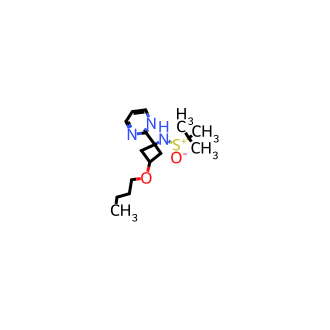 CCCCOC1CC(N[S+]([O-])C(C)(C)C)(c2ncccn2)C1